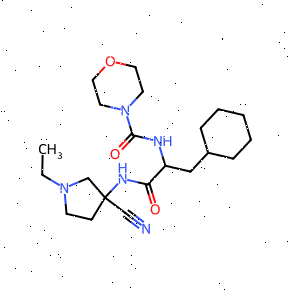 CCN1CCC(C#N)(NC(=O)C(CC2CCCCC2)NC(=O)N2CCOCC2)C1